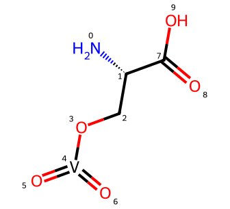 N[C@@H](C[O][V](=[O])=[O])C(=O)O